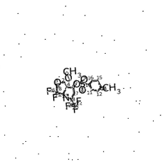 COC(=O)c1c(OS(=O)(=O)c2ccc(C)cc2)cc(C(F)(F)F)nc1C(F)(F)F